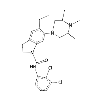 CCc1cc2c(cc1N1CC(C)N(C)C(C)C1)N(C(=O)Nc1cccc(Cl)c1Cl)CC2